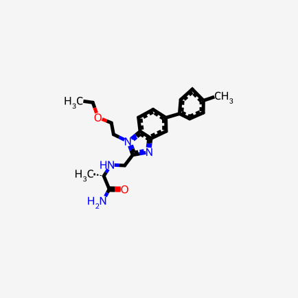 CCOCCn1c(CN[C@@H](C)C(N)=O)nc2cc(-c3ccc(C)cc3)ccc21